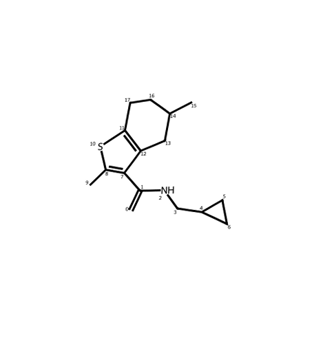 C=C(NCC1CC1)c1c(C)sc2c1CC(C)CC2